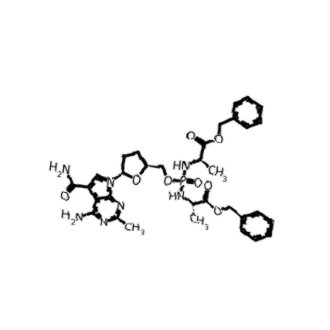 Cc1nc(N)c2c(C(N)=O)cn([C@H]3CC[C@@H](COP(=O)(N[C@@H](C)C(=O)OCc4ccccc4)N[C@H](C)C(=O)OCc4ccccc4)O3)c2n1